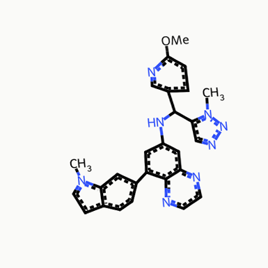 COc1ccc(C(Nc2cc(-c3ccc4ccn(C)c4c3)c3nccnc3c2)c2cnnn2C)cn1